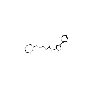 O=C(CCCCN1CCCCCC1)Nc1cc(-c2ccccn2)n[nH]1